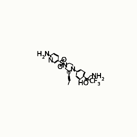 CC#C[C@H]1CN(S(=O)(=O)c2ccc(N)nc2)CCN1c1ccc([C@@](O)(CN)C(F)(F)F)cc1